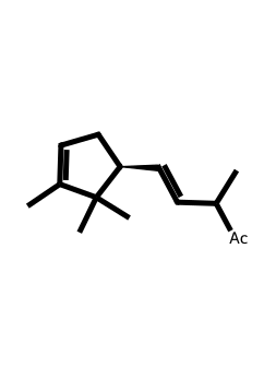 CC(=O)C(C)/C=C/[C@@H]1CC=C(C)C1(C)C